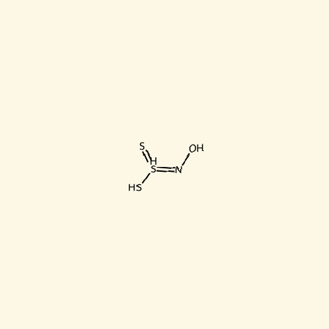 ON=[SH](=S)S